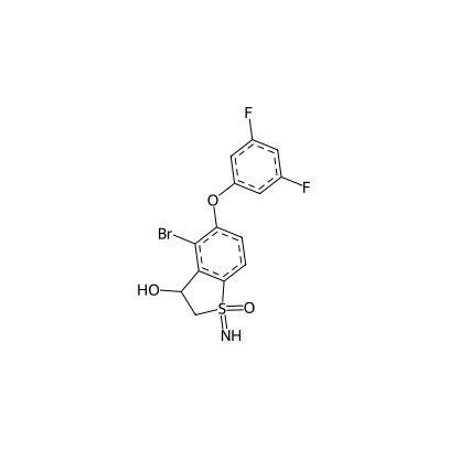 N=S1(=O)CC(O)c2c1ccc(Oc1cc(F)cc(F)c1)c2Br